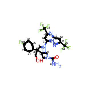 NC(=O)N1CC(C(CO)(CNc2cc(C(F)(F)F)nc3cc(C(F)(F)F)nn23)c2ccc(F)cc2)C1